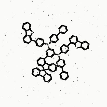 c1ccc(-c2ccc(N(c3ccc(-c4cccc5c4oc4ccccc45)cc3)c3cc(-c4cccc5c4-c4ccccc4C54c5ccccc5-c5ccccc54)cc(N(c4ccc(-c5ccccc5)cc4)c4ccc(-c5cccc6c5oc5ccccc56)cc4)c3)cc2)cc1